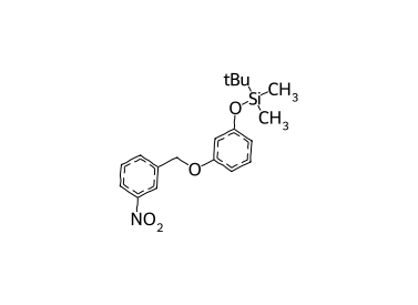 CC(C)(C)[Si](C)(C)Oc1cccc(OCc2cccc([N+](=O)[O-])c2)c1